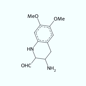 COc1cc2c(cc1OC)NC(C=O)C(N)C2